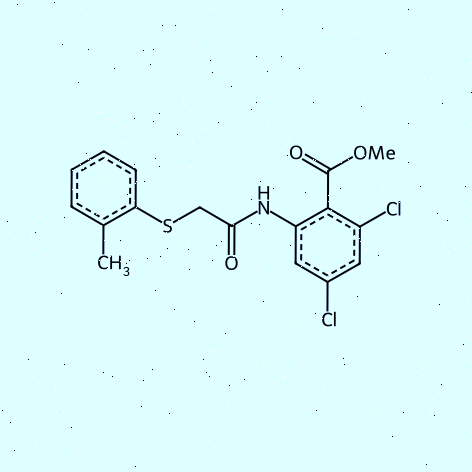 COC(=O)c1c(Cl)cc(Cl)cc1NC(=O)CSc1ccccc1C